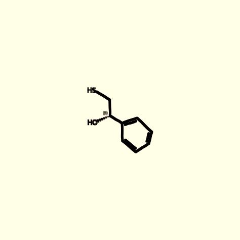 O[C@H](CS)c1ccccc1